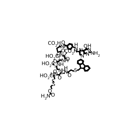 NC(=O)OCCSSC[C@H](NC(=O)[C@H](CNC(=O)CCSCC1c2ccccc2-c2ccccc21)NC(=O)[C@H](CC(=O)O)NC(=O)[C@H](CC(=O)O)NC(=O)[C@H](CC(=O)O)NC(=O)CC[C@H](NC(=O)c1ccc(NCc2cnc3nc(N)[nH]c(=O)c3n2)cc1)C(=O)O)C(=O)O